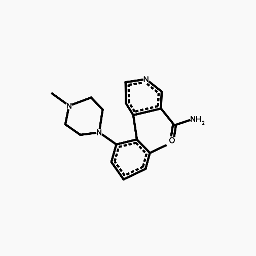 Cc1cccc(N2CCN(C)CC2)c1-c1ccncc1C(N)=O